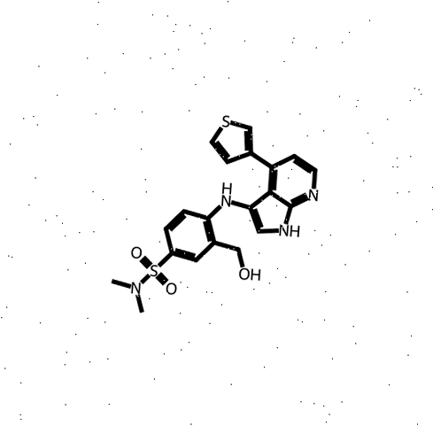 CN(C)S(=O)(=O)c1ccc(Nc2c[nH]c3nccc(-c4ccsc4)c23)c(CO)c1